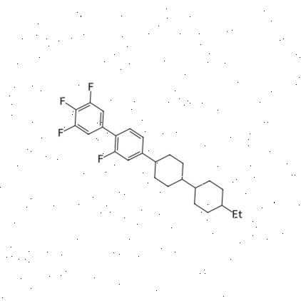 CCC1CCC(C2CCC(c3ccc(-c4cc(F)c(F)c(F)c4)c(F)c3)CC2)CC1